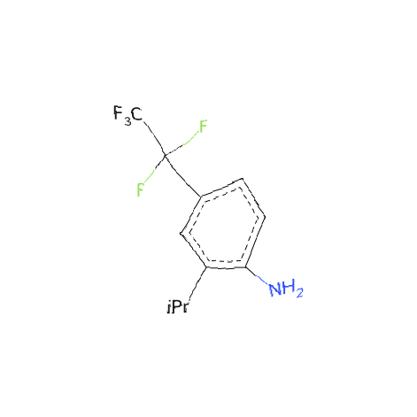 CC(C)c1cc(C(F)(F)C(F)(F)F)ccc1N